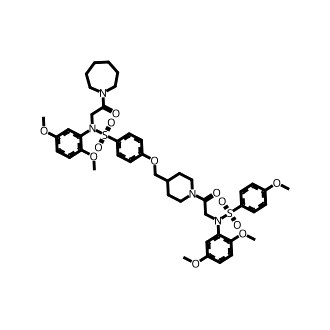 COc1ccc(S(=O)(=O)N(CC(=O)N2CCC(COc3ccc(S(=O)(=O)N(CC(=O)N4CCCCCC4)c4cc(OC)ccc4OC)cc3)CC2)c2cc(OC)ccc2OC)cc1